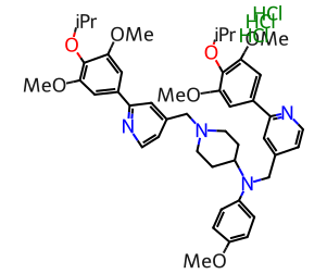 COc1ccc(N(Cc2ccnc(-c3cc(OC)c(OC(C)C)c(OC)c3)c2)C2CCN(Cc3ccnc(-c4cc(OC)c(OC(C)C)c(OC)c4)c3)CC2)cc1.Cl.Cl.Cl